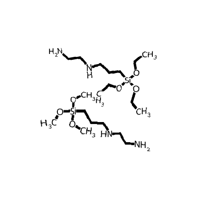 CCO[Si](CCCNCCN)(OCC)OCC.CO[Si](CCCNCCN)(OC)OC